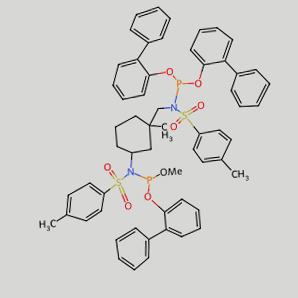 COP(Oc1ccccc1-c1ccccc1)N(C1CCCC(C)(CN(P(Oc2ccccc2-c2ccccc2)Oc2ccccc2-c2ccccc2)S(=O)(=O)c2ccc(C)cc2)C1)S(=O)(=O)c1ccc(C)cc1